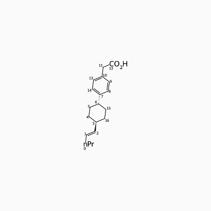 CCC/C=C/[C@H]1CC[C@H](c2ccc(CC(=O)O)cc2)CC1